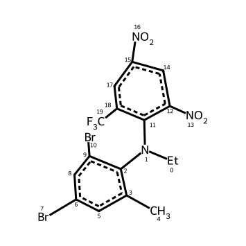 CCN(c1c(C)cc(Br)cc1Br)c1c([N+](=O)[O-])cc([N+](=O)[O-])cc1C(F)(F)F